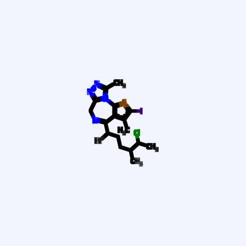 CCC(CCC(C)C(C)Cl)C1=NCc2nnc(C)n2-c2sc(I)c(C)c21